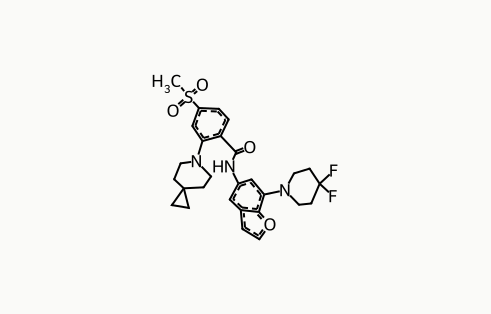 CS(=O)(=O)c1ccc(C(=O)Nc2cc(N3CCC(F)(F)CC3)c3occc3c2)c(N2CCC3(CC2)CC3)c1